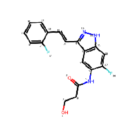 O=C(CCO)Nc1cc2c(/C=C/c3ccccc3F)n[nH]c2cc1F